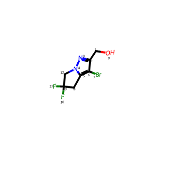 OCc1nn2c(c1Br)CC(F)(F)C2